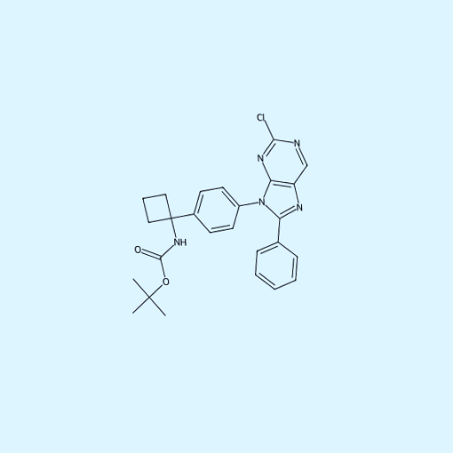 CC(C)(C)OC(=O)NC1(c2ccc(-n3c(-c4ccccc4)nc4cnc(Cl)nc43)cc2)CCC1